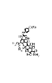 COc1ccc(OC(=O)Nc2cc(N(C)C)c3c(c2O)C(=O)C2=C(O)[C@]4(O)C(=O)C(C(N)=O)=C(O)C[C@@H]4C[C@@H]2C3)cc1